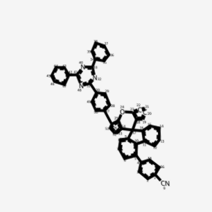 N#Cc1ccc(-c2cccc3c2-c2ccccc2C32c3ccccc3Oc3c(-c4ccc(-c5nc(-c6ccccc6)nc(-c6ccccc6)n5)cc4)cccc32)cc1